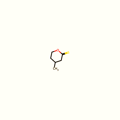 CC1CCOC(=S)C1